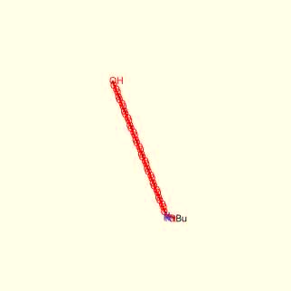 CC(C)(C)OCc1cn(CCOCCOCOCCOCOCCOCOCCOCOCCOCOCCOCOCCOCOCCOCOCCOCOCCOCOCCOCOCCOCOCCOCOCCOCOCCOCOCCOCOCCOCOCCOCCO)nn1